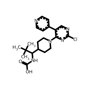 CC(C)(C)C(NC(=O)O)C1CCN(c2nc(Cl)ncc2-c2ccncc2)CC1